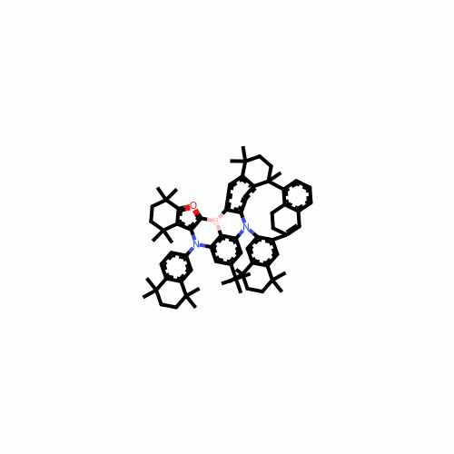 CC(C)(C)c1cc2c3c(c1)N(c1ccc4c(c1)C(C)(C)CCC4(C)C)c1c(oc4c1C(C)(C)CCC4(C)C)B3c1cc3c4cc1N2c1cc2c(cc1C1=Cc5cccc(c5CC1)C4(C)CCC3(C)C)C(C)(C)CCC2(C)C